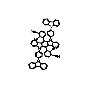 N#Cc1cccc(-c2c3c4ccccc4n(-c4ccc(-n5c6ccccc6c6ccccc65)cc4)c3c(-c3cccc(C#N)c3C#N)c3c4ccccc4n(-c4ccc(-n5c6ccccc6c6ccccc65)cc4)c23)c1C#N